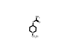 CCOC(=O)N1CCC(SC(N)=O)CC1